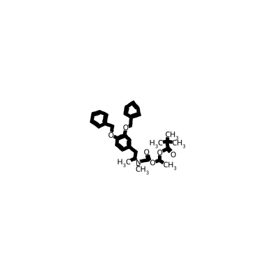 CC(OC(=O)N(C)C(C)Cc1ccc(OCc2ccccc2)c(OCc2ccccc2)c1)OC(=O)C(C)(C)C